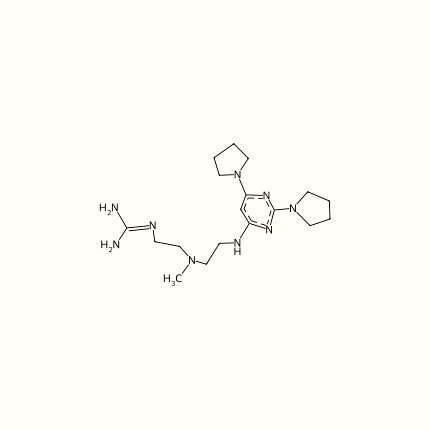 CN(CCN=C(N)N)CCNc1cc(N2CCCC2)nc(N2CCCC2)n1